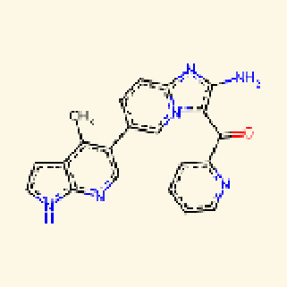 Cc1c(-c2ccc3nc(N)c(C(=O)c4ccccn4)n3c2)cnc2[nH]ccc12